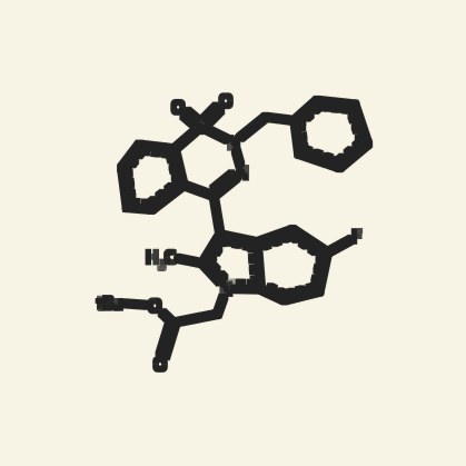 Cc1c(C2=NN(Cc3ccccc3)S(=O)(=O)c3ccccc32)c2cc(F)ccc2n1CC(=O)OC(C)(C)C